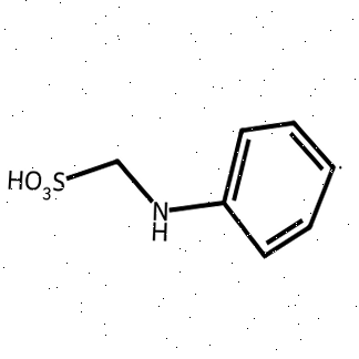 O=S(=O)(O)CNc1cc[c]cc1